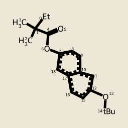 CCC(C)(C)C(=O)Oc1ccc2cc(OC(C)(C)C)ccc2c1